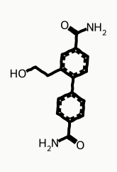 NC(=O)c1ccc(-c2ccc(C(N)=O)cc2CCO)cc1